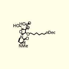 CCCCCCCCCCCCCCCCOC1C(O[PH](=O)O)[C@@H](CO)O[C@H]1n1ccc(NC)nc1=O